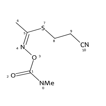 CNC(=O)O/N=C(/C)SCCC#N